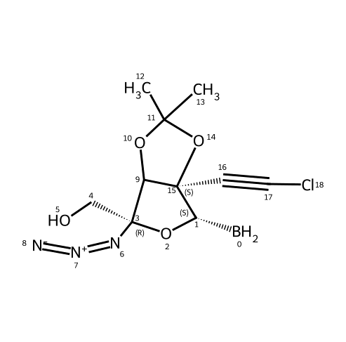 B[C@@H]1O[C@@](CO)(N=[N+]=[N-])C2OC(C)(C)O[C@]21C#CCl